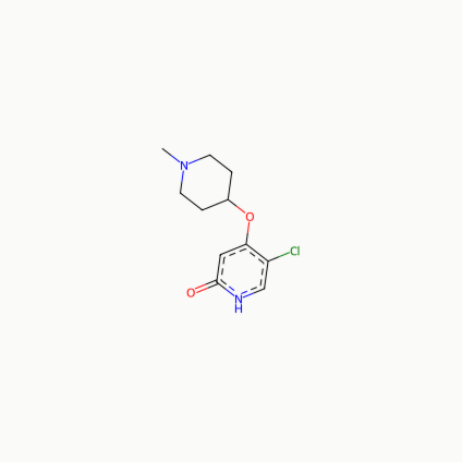 CN1CCC(Oc2cc(=O)[nH]cc2Cl)CC1